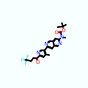 Cc1cc(C(=O)CCC(F)(F)F)ncc1-c1cc2cnc(N(C)C(=O)OC(C)(C)C)cc2cn1